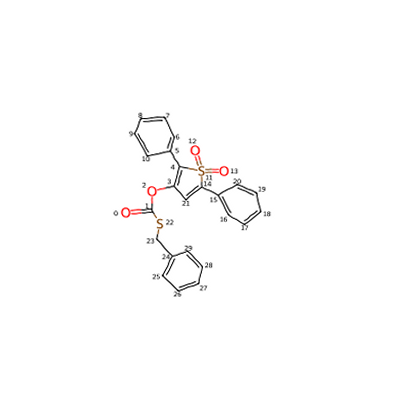 O=C(OC1=C(c2ccccc2)S(=O)(=O)C(c2ccccc2)=C1)SCc1ccccc1